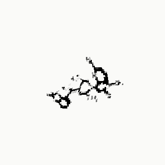 CC(c1cccc2c1OC(F)(F)O2)N1C[C@H](C)N(c2cc(=O)n(C)c3ccc(C#N)nc23)C[C@H]1C